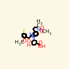 COC(=O)N1c2ccc3c(nc([C@@H](O)c4cc(F)ccc4OC)n3C3CCCC(C(=O)O)C3)c2CC[C@@H]1C